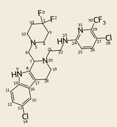 FC1(F)CCN(CC2c3[nH]c4ccc(Cl)cc4c3CCN2CCNc2ccc(Cl)c(C(F)(F)F)n2)CC1